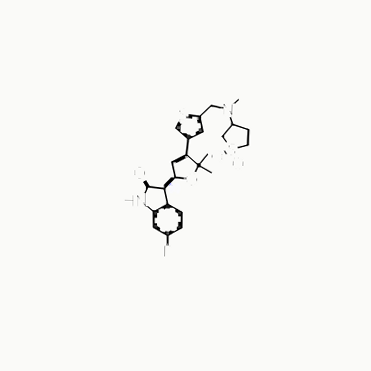 CN(Cc1cc(C2=C/C(=C3\C(=O)Nc4cc(F)ccc43)OC2(C)C)cs1)C1CCS(=O)(=O)C1